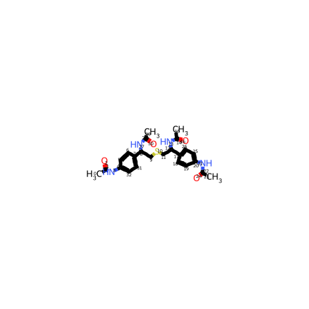 CC(=O)Nc1ccc(C(CSCC(NC(C)=O)c2ccc(NC(C)=O)cc2)NC(C)=O)cc1